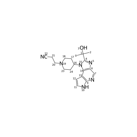 CC(C)(O)c1nc2cnc3[nH]ccc3c2n1C1CCN(CCC#N)CC1